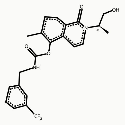 Cc1ccc2c(=O)n([C@H](C)CO)ccc2c1OC(=O)NCc1cccc(C(F)(F)F)c1